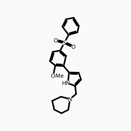 COc1ccc(S(=O)(=O)c2ccccc2)cc1-c1ccc(CN2CCCCC2)[nH]1